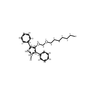 CCCCCCCOCOc1c(-c2ccccc2)nn(C)c1-c1ccccc1